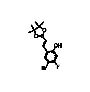 CC1(C)OB(C=Cc2cc(Br)c(F)cc2O)OC1(C)C